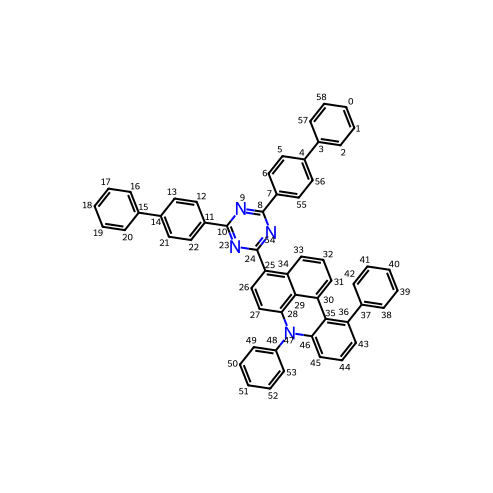 c1ccc(-c2ccc(-c3nc(-c4ccc(-c5ccccc5)cc4)nc(-c4ccc5c6c(cccc46)-c4c(-c6ccccc6)cccc4N5c4ccccc4)n3)cc2)cc1